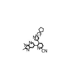 Cc1nc2cc(-c3nc(C#N)ccc3-c3cnn(CC4(F)CCCC4)c3)cnc2n1C